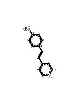 CC(C)(C)c1ccc(/C=C/c2ccncc2)cc1